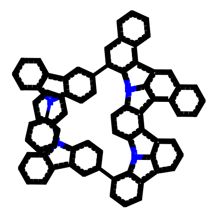 c1ccc(-n2c3ccccc3c3cc(-c4cccc5c6cccc7c8c9c%10c%11ccccc%11cc%11c%12c%13ccccc%13cc(-c%13ccc%14c(c%13)c%13ccccc%13n%14-c%13ccccc%13)c%12n(c9ccc8n(c45)c67)c%11%10)ccc32)cc1